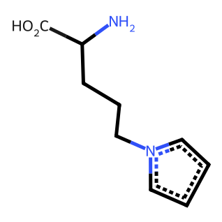 NC(CCCn1cccc1)C(=O)O